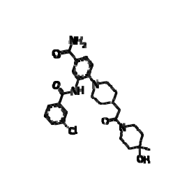 CC1(O)CCN(C(=O)CC2CCN(c3ccc(C(N)=O)cc3NC(=O)c3cccc(Cl)c3)CC2)CC1